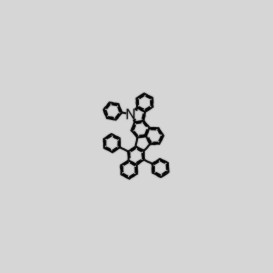 c1ccc(-c2c3c(c(-c4ccccc4)c4ccccc24)-c2cc4c(c5cccc-3c25)c2ccccc2n4-c2ccccc2)cc1